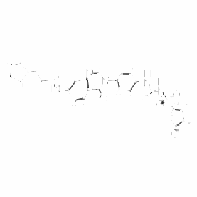 O=C(Nc1ccc(-n2cnc3cc(NCCCC4CCCC4)ccc3c2=O)c(F)c1)NS(=O)(=O)c1ccc(Cl)s1